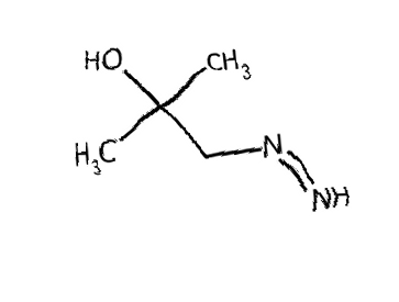 CC(C)(O)CN=N